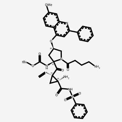 C=C[C@@]1(C(=O)[C@]2(NC(=O)OC(C)(C)C)C[C@@H](Oc3cc(-c4ccccc4)nc4cc(OC)ccc34)CN2C(=O)CCCN)C[C@]1(N)C(=O)NS(=O)(=O)c1ccccc1